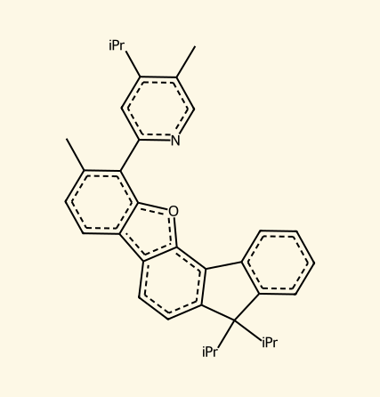 Cc1cnc(-c2c(C)ccc3c2oc2c4c(ccc23)C(C(C)C)(C(C)C)c2ccccc2-4)cc1C(C)C